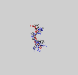 CC(C)CC(NC(=O)C(Cc1c[nH]cn1)NC(=O)CNC(=O)C(NC(=O)C(C)NC(=O)C(Cc1c[nH]c2ccccc12)NC(=O)C(Cc1c[nH]cn1)NC(=O)C(N)CC(N)=O)C(C)C)C(=O)O